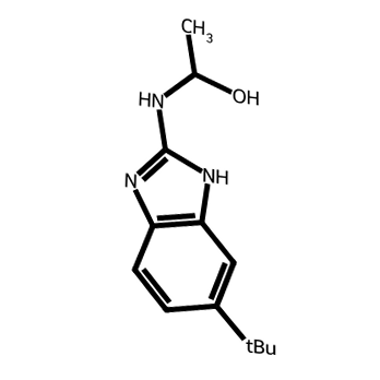 CC(O)Nc1nc2ccc(C(C)(C)C)cc2[nH]1